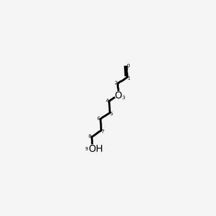 C=CCOCCCCCO